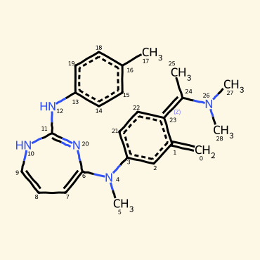 C=c1cc(N(C)C2=CC=CNC(Nc3ccc(C)cc3)=N2)cc/c1=C(\C)N(C)C